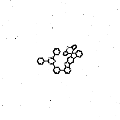 c1ccc(-c2nc(-c3ccccc3)nc(-c3cccc(-c4cccc5c4sc4cc6c(cc45)-c4ccccc4C64c5ccccc5Oc5ccccc54)c3)n2)cc1